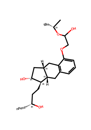 CCCCC[C@@H](O)CC[C@@H]1[C@H]2Cc3cccc(OCC(O)O[C@@H](C)C(C)(C)C)c3C[C@H]2C[C@H]1O